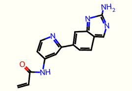 C=CC(=O)Nc1ccnc(-c2ccc3cnc(N)nc3c2)c1